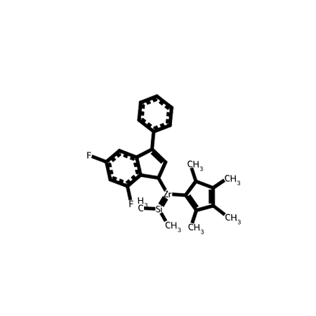 CC1=C(C)C(C)[C]([Zr]([CH]2C=C(c3ccccc3)c3cc(F)cc(F)c32)=[Si](C)C)=C1C